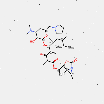 CC[C@@H](OC(=O)C(C)C(=O)[C@H](C)[C@@H](O[C@@H]1O[C@H](CN2CCCC2)CC(N(C)C)C1O)[C@@](C)(C[C@@H](C)CNC)OC)[C@@]1(C)OC(=O)N2[C@@H](C)[C@@H]21